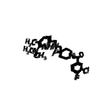 Cc1ccc(CNCC2(F)CCN(C(=O)c3ccc(F)c(Cl)c3)CC2)nc1N(C)C